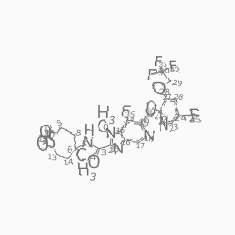 Cn1c(C(=O)NC2(C)CCS(=O)(=O)CC2)nc2cnc(Oc3ncc(F)cc3OCC(F)(F)F)c(F)c21